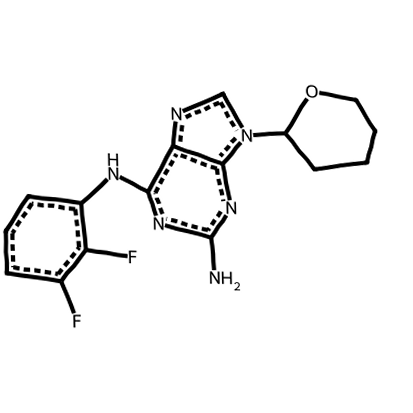 Nc1nc(Nc2cccc(F)c2F)c2ncn(C3CCCCO3)c2n1